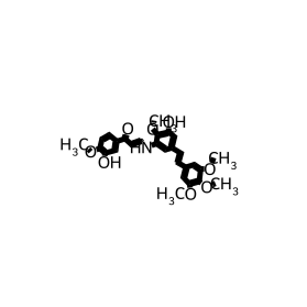 COc1ccc(C(=O)C=CNc2cc(C=Cc3cc(OC)c(OC)c(OC)c3)cc(O)c2OC)cc1O